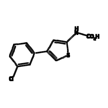 O=C(O)Nc1cc(-c2cccc(Cl)c2)cs1